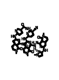 Cn1ccc(Nc2cc3ccn(C)c(=O)c3c(N)n2)n1.Cn1ccc2cc(Nc3ccc(C#N)cn3)nc(N)c2c1=O.Cn1ccc2cc(Nc3ccc(C(N)=O)cn3)nc(N)c2c1=O